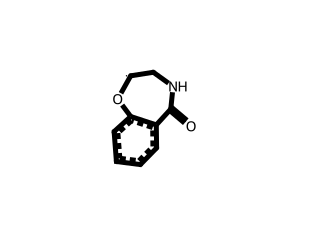 O=C1NC[CH]Oc2ccccc21